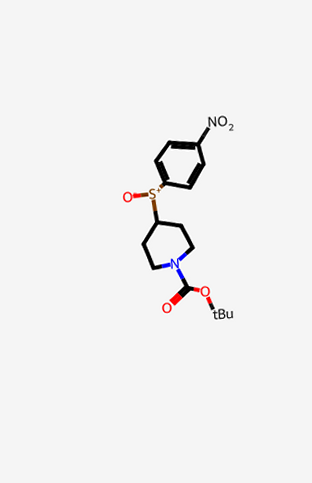 CC(C)(C)OC(=O)N1CCC([S+]([O-])c2ccc([N+](=O)[O-])cc2)CC1